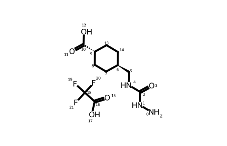 NNC(=O)NC[C@H]1CC[C@H](C(=O)O)CC1.O=C(O)C(F)(F)F